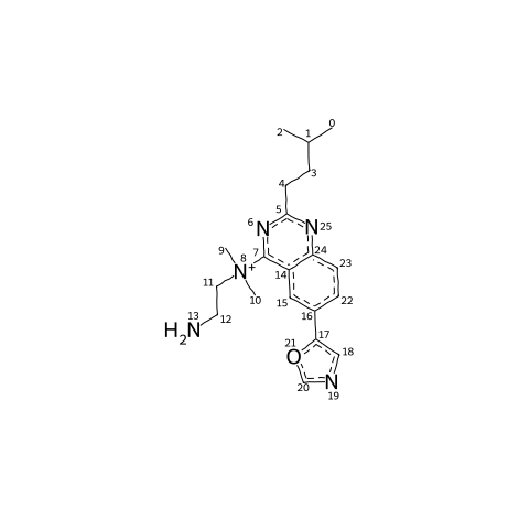 CC(C)CCc1nc([N+](C)(C)CCN)c2cc(-c3cnco3)ccc2n1